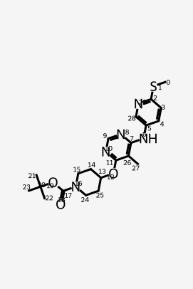 CSc1ccc(Nc2ncnc(OC3CCN(C(=O)OC(C)(C)C)CC3)c2C)cn1